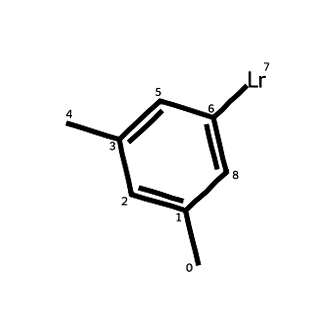 Cc1cc(C)c[c]([Lr])c1